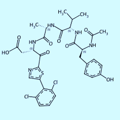 CC(=O)N[C@@H](Cc1ccc(O)cc1)C(=O)N[C@H](C(=O)N[C@@H](C)C(=O)N[C@@H](CC(=O)O)C(=O)c1ncc(-c2c(Cl)cccc2Cl)s1)C(C)C